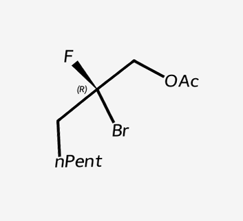 CCCCCC[C@@](F)(Br)COC(C)=O